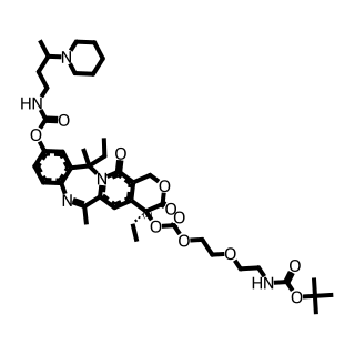 CCC1(C)c2cc(OC(=O)NCCC(C)N3CCCCC3)ccc2N=C(C)c2cc3c(c(=O)n21)COC(=O)[C@@]3(CC)OC(=O)OCCOCCNC(=O)OC(C)(C)C